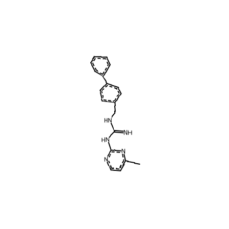 Cc1ccnc(NC(=N)NCc2ccc(-c3ccccc3)cc2)n1